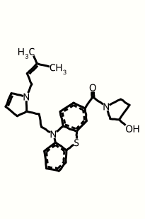 CC(C)=CCN1C=CCC1CCN1c2ccccc2Sc2cc(C(=O)N3CCC(O)C3)ccc21